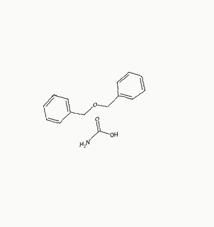 NC(=O)O.c1ccc(COCc2ccccc2)cc1